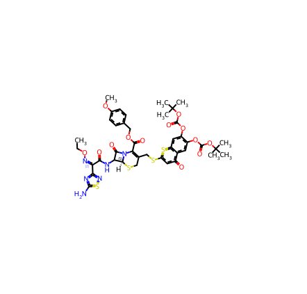 CCO/N=C(\C(=O)NC1C(=O)N2C(C(=O)OCc3ccc(OC)cc3)=C(CSc3cc(=O)c4cc(OC(=O)OC(C)(C)C)c(OC(=O)OC(C)(C)C)cc4s3)CS[C@@H]12)c1nsc(N)n1